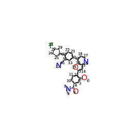 COc1cc(C(=O)N(C)C)ccc1-c1cc2nccc(-c3ccc(C4CC[C@@H](F)C4)c(C#N)c3)c2o1